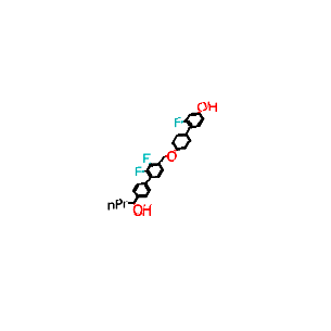 CCCC(O)c1ccc(-c2ccc(COC3CCC(c4ccc(O)cc4F)CC3)c(F)c2F)cc1